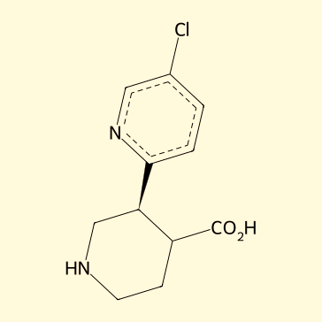 O=C(O)C1CCNC[C@H]1c1ccc(Cl)cn1